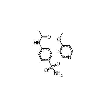 CC(=O)Nc1ccc(S(N)(=O)=O)cc1.COc1ccncn1